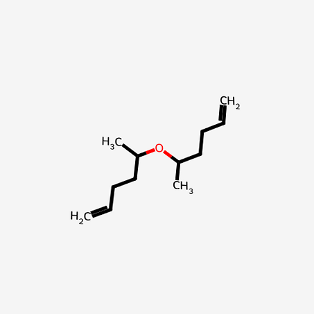 C=CCCC(C)OC(C)CCC=C